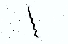 [CH]CCCCCCCCC[CH2]